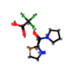 O=C(O)C(F)(F)F.O=C([C@H]1NCCS1)N1CCCC1